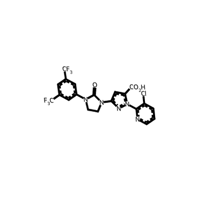 O=C(O)c1cc(N2CCN(c3cc(C(F)(F)F)cc(C(F)(F)F)c3)C2=O)nn1-c1ncccc1Cl